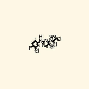 Fc1ccc(Nc2ncc(Br)c(-n3cnc(Cl)c3Cl)n2)cc1Cl